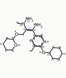 Cc1nc(/C(N)=C(\COC2CCCCO2)N(C)N)cnc1OC1CCCCC1